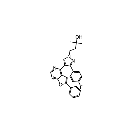 CC(C)(O)CCn1cc(-c2ncnc3oc(-c4ccccc4)cc23)c(-c2ccc(F)cc2)n1